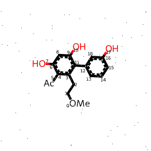 COCCc1c(C(C)=O)c(O)cc(O)c1-c1cccc(O)c1